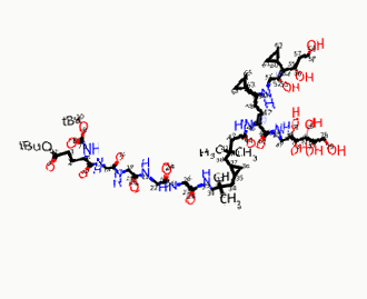 CC(C)COC(=O)CCC(NC(=O)OC(C)(C)C)C(=O)NCC(=O)NCC(=O)NCC(=O)NCC(=O)NCC(C)(C)CC1CC1CC(C)(C)CC(=O)N/C(=C\CC(NC/C(O)=C(/C(O)CCO)C1CC1)=C1CC1)C(=O)NC[C@H](O)C(O)[C@H](O)[C@H](O)CO